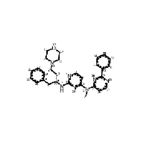 CN(c1ccnc(N[C@@H](CCN2CCOCC2)Cc2ccccc2)n1)c1ccnc(-c2ccccc2)n1